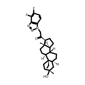 CC[C@]12CC[C@@](C)(O)C[C@@H]1CC[C@H]1[C@@H]3CC[C@H](C(=O)Cn4nnc5c(F)c(F)ccc54)[C@@]3(C)CC[C@@H]12